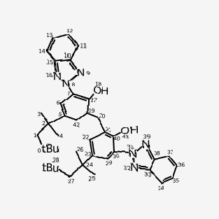 CC(C)(C)CC(C)(C)C1=CC(n2nc3ccccc3n2)=C(O)C(Cc2cc(C(C)(C)CC(C)(C)C)cc(-n3nc4ccccc4n3)c2O)C1